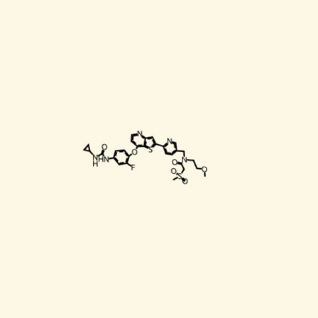 COCCN(Cc1ccc(-c2cc3nccc(Oc4ccc(NC(=O)NC5CC5)cc4F)c3s2)nc1)C(=O)CS(C)(=O)=O